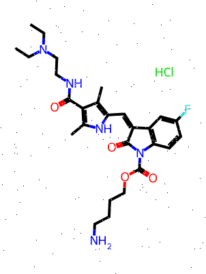 CCN(CC)CCNC(=O)c1c(C)[nH]c(/C=C2\C(=O)N(C(=O)OCCCCN)c3ccc(F)cc32)c1C.Cl